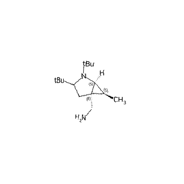 C[C@@H]1[C@@H]2N(C(C)(C)C)C(C(C)(C)C)C[C@]12CN